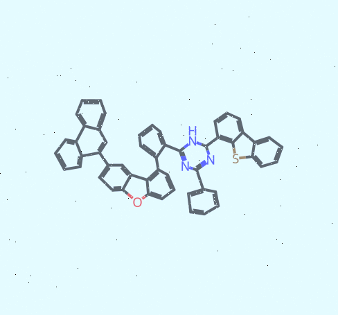 c1ccc(C2=NC(c3cccc4c3sc3ccccc34)NC(c3ccccc3-c3cccc4oc5ccc(-c6cc7ccccc7c7ccccc67)cc5c34)=N2)cc1